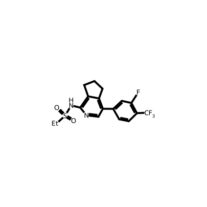 CCS(=O)(=O)Nc1ncc(-c2ccc(C(F)(F)F)c(F)c2)c2c1CCC2